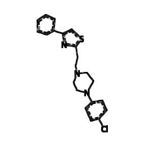 Clc1ccc(N2CCN(CCc3nc(-c4ccccc4)cs3)CC2)cc1